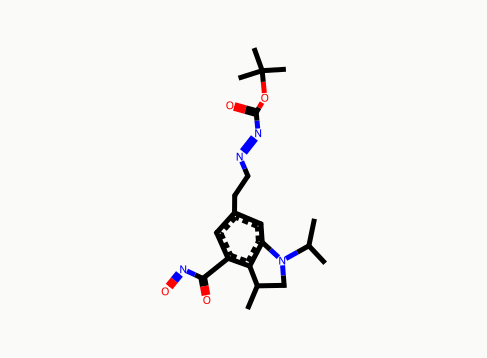 CC1CN(C(C)C)c2cc(CCN=NC(=O)OC(C)(C)C)cc(C(=O)N=O)c21